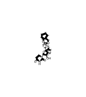 O=c1ccn([C@@H]2O[C@@](COP3(=S)OCc4ccccc4O3)(C(F)F)[C@H](F)[C@H]2O)c(=O)[nH]1